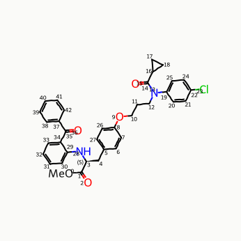 COC(=O)[C@H](Cc1ccc(OCCCN(C(=O)C2CC2)c2ccc(Cl)cc2)cc1)Nc1ccccc1C(=O)c1ccccc1